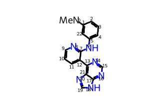 CNc1cccc(Nc2ncccc2-c2ncnc3[nH]cnc23)c1